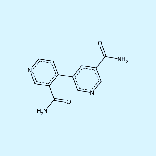 NC(=O)c1cncc(-c2ccncc2C(N)=O)c1